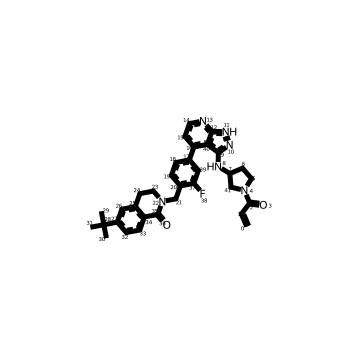 C=CC(=O)N1CCC(Nc2n[nH]c3nccc(-c4ccc(CN5CCc6cc(C(C)(C)C)ccc6C5=O)c(F)c4)c23)C1